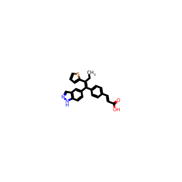 CCC(=C(c1ccc(C=CC(=O)O)cc1)c1ccc2[nH]ncc2c1)c1cccs1